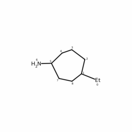 CCC1CCCC(N)CC1